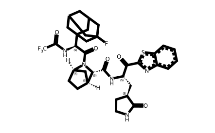 O=C1NCC[C@H]1C[C@H](NC(=O)[C@@H]1[C@H]2CC[C@H](C2)N1C(=O)[C@@H](NC(=O)C(F)(F)F)C12CC3CC(CC(F)(C3)C1)C2)C(=O)c1nc2ccccc2s1